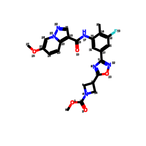 COC(=O)N1CC(c2nc(-c3cc(F)c(C)c(NC(=O)c4cnn5cc(OC)ccc45)c3)no2)C1